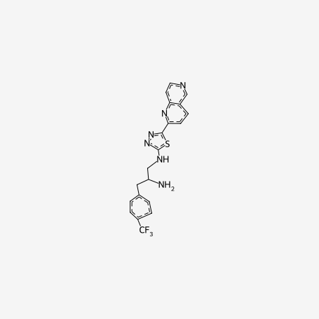 NC(CNc1nnc(-c2ccc3cnccc3n2)s1)Cc1ccc(C(F)(F)F)cc1